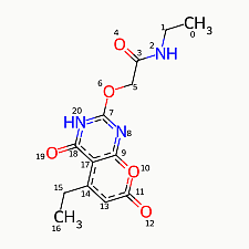 CCNC(=O)COc1nc2oc(=O)cc(CC)c2c(=O)[nH]1